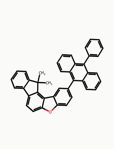 CC1(C)c2ccccc2-c2ccc3oc4ccc(-c5c6ccccc6c(-c6ccccc6)c6ccccc56)cc4c3c21